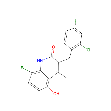 Cc1c(Cc2ccc(F)cc2Cl)c(=O)[nH]c2c(F)ccc(O)c12